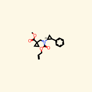 C=CCOC(=O)N(CC1(C(=O)OC)CC1)[C@H]1CC1c1ccccc1